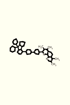 Cc1cnc2c(ccc3c(C)c(C)c(-c4ccc(-c5ccc(-c6cccc7c6-c6ccccc6C7(c6ccccc6)c6ccccc6)cc5)cc4)nc32)c1C